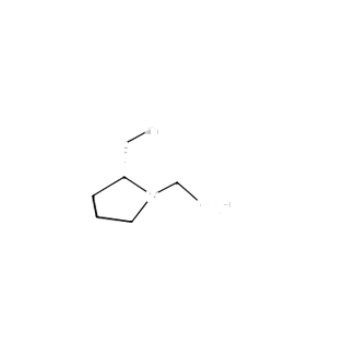 CC(C)C[C@H]1CCCN1CC(=O)O